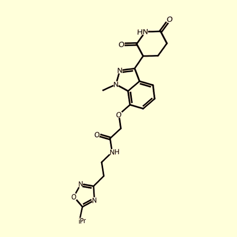 CC(C)c1nc(CCNC(=O)COc2cccc3c(C4CCC(=O)NC4=O)nn(C)c23)no1